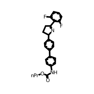 CCCOC(=O)Nc1ccc(-c2ccc(C3CCC(c4c(F)cccc4F)=N3)cc2)cc1